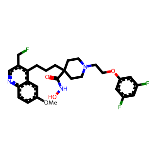 COc1ccc2ncc(CF)c(CCCC3(C(=O)NO)CCN(CCOc4cc(F)cc(F)c4)CC3)c2c1